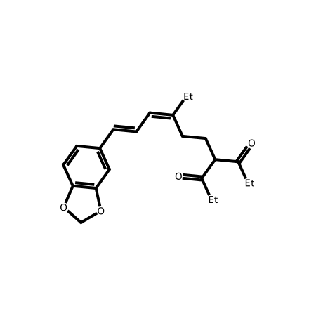 CCC(=O)C(CCC(=CC=Cc1ccc2c(c1)OCO2)CC)C(=O)CC